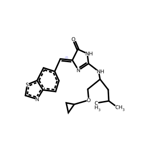 CC(C)CC(COC1CC1)NC1=N/C(=C\c2ccc3ncsc3c2)C(=O)N1